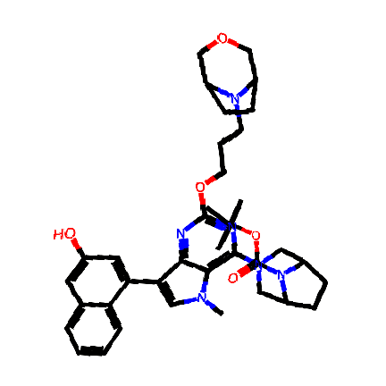 Cn1cc(-c2cc(O)cc3ccccc23)c2nc(OCCCN3C4CCC3COC4)nc(N3CC4CCC(C3)N4C(=O)OC(C)(C)C)c21